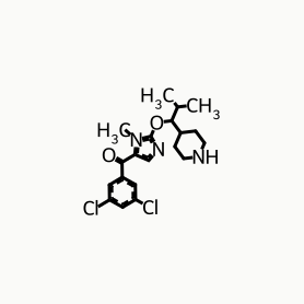 CC(C)C(Oc1ncc(C(=O)c2cc(Cl)cc(Cl)c2)n1C)C1CCNCC1